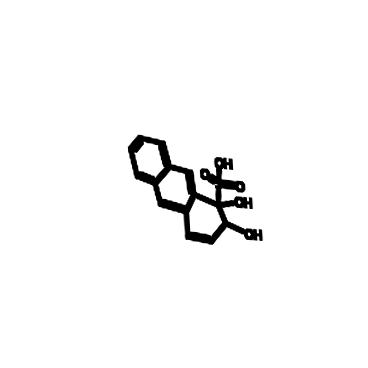 O=S(=O)(O)C1(O)c2cc3ccccc3cc2C=CC1O